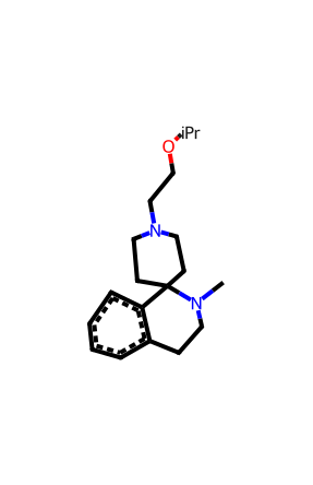 CC(C)OCCN1CCC2(CC1)c1ccccc1CCN2C